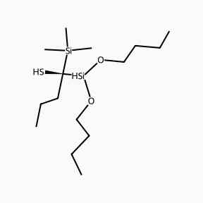 CCCCO[SiH](OCCCC)[C@](S)(CCC)[Si](C)(C)C